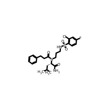 CC(C)C[C@@H](C(N)=O)N(CCCNS(=O)(=O)c1ccc(F)cc1Cl)C(=O)CCc1ccccc1